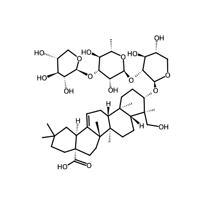 C[C@@H]1O[C@@H](O[C@H]2[C@H](O[C@H]3CC[C@@]4(C)[C@@H](CC[C@]5(C)[C@@H]4CC=C4[C@@H]6CC(C)(C)CC[C@]6(C(=O)O)CC[C@]45C)[C@]3(C)CO)OC[C@@H](O)[C@@H]2O)[C@H](O)[C@H](O[C@@H]2OC[C@@H](O)[C@H](O)[C@H]2O)[C@H]1O